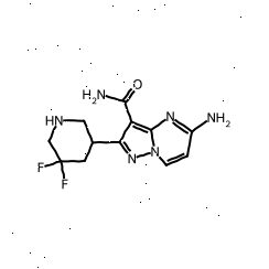 NC(=O)c1c(C2CNCC(F)(F)C2)nn2ccc(N)nc12